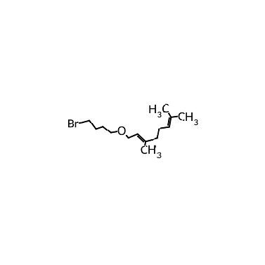 CC(C)=CCCC(C)=CCOCCCCBr